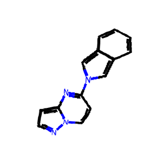 c1ccc2cn(-c3ccn4nccc4n3)cc2c1